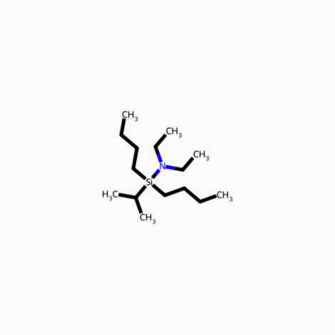 CCCC[Si](CCCC)(C(C)C)N(CC)CC